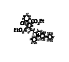 C=C/C(=C\C=C(/C)c1cc(C(=O)OCC)c(C2=C(Cl)C=CC=CC2)cc1C(=O)OCC)N(c1ccccc1)c1ccc(-c2ccccc2)cc1